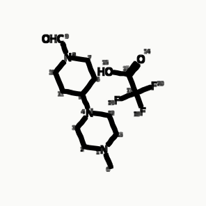 CN1CCN(C2CCN(C=O)CC2)CC1.O=C(O)C(F)(F)F